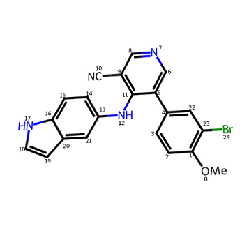 COc1ccc(-c2cncc(C#N)c2Nc2ccc3[nH]ccc3c2)cc1Br